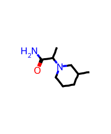 CC1CCCN(C(C)C(N)=O)C1